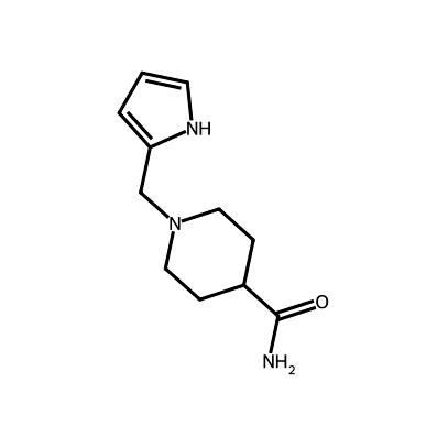 NC(=O)C1CCN(Cc2ccc[nH]2)CC1